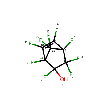 OC1(F)C(F)(F)C2(F)C(F)=C(F)C1(F)C2(F)F